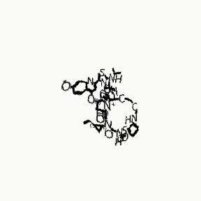 C=C[C@@H]1C[C@H]1N1C(=O)NS(=O)(=O)c2ccccc2NCCCCCCC(C(=O)O)[N+]2(C(=O)OC(C)(C)C)C[C@H](Oc3cc(-c4csc(NC(C)C)n4)nc4cc(OC)ccc34)C[C@H]2C1=O